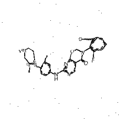 Cc1cc(Nc2ncc3c(n2)OCN(c2c(F)cccc2Cl)C3=O)ccc1N1CCNC[C@@H]1C